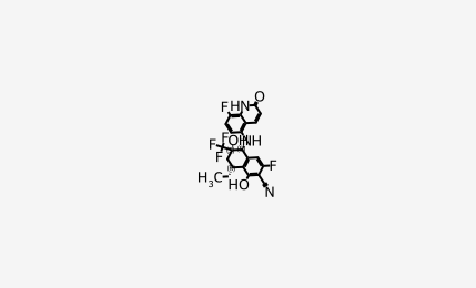 CC[C@@H]1C[C@@](O)(C(F)(F)F)[C@@H](Nc2ccc(F)c3[nH]c(=O)ccc23)c2cc(F)c(C#N)c(O)c21